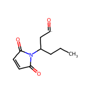 CCCC(C[C]=O)N1C(=O)C=CC1=O